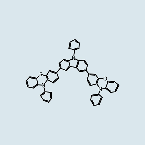 c1ccc(N2c3ccccc3Oc3cc(-c4ccc5c(c4)c4cc(-c6ccc7c(c6)Sc6ccccc6N7c6ccccc6)ccc4n5-c4ccccc4)ccc32)cc1